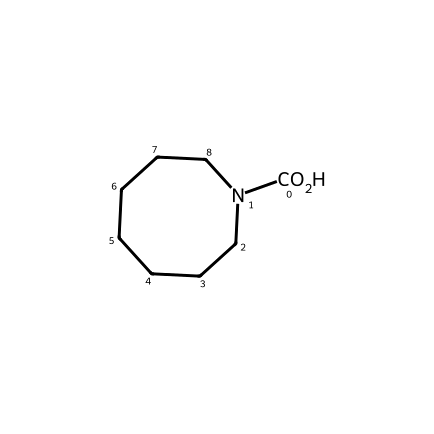 O=C(O)N1CCCCCCC1